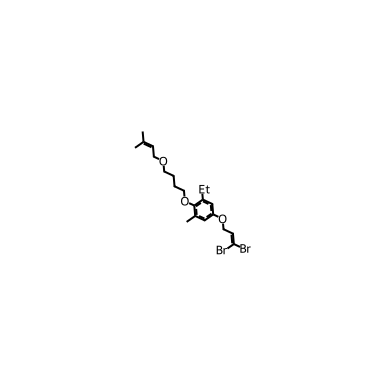 CCc1cc(OCC=C(Br)Br)cc(C)c1OCCCCOCC=C(C)C